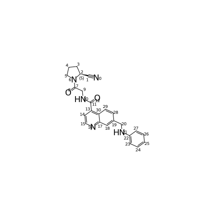 N#C[C@@H]1CCCN1C(=O)CNC(=O)c1ccnc2cc(CNc3ccccc3)ccc12